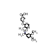 COc1ccc(/C(C)=N\Oc2ncnc(OC3CCN(C(=O)O)CC3)c2C)cc1OC